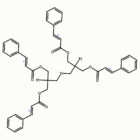 CCC(COCC(CC)(COC(=O)/C=C/c1ccccc1)COC(=O)/C=C/c1ccccc1)(COC(=O)/C=C/c1ccccc1)COC(=O)/C=C/c1ccccc1